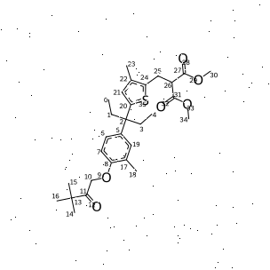 CCC(CC)(c1ccc(OCC(=O)C(C)(C)C)c(C)c1)c1cc(C)c(CC(C(=O)OC)C(=O)OC)s1